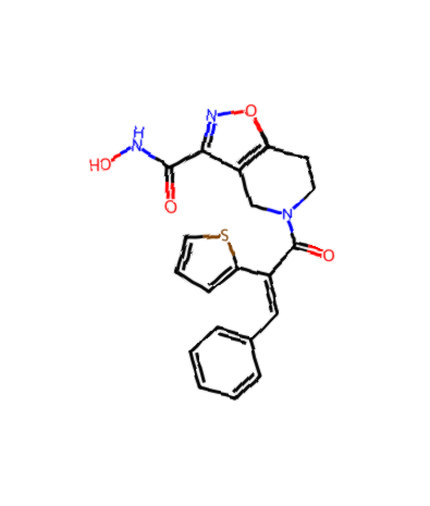 O=C(NO)c1noc2c1CN(C(=O)C(=Cc1ccccc1)c1cccs1)CC2